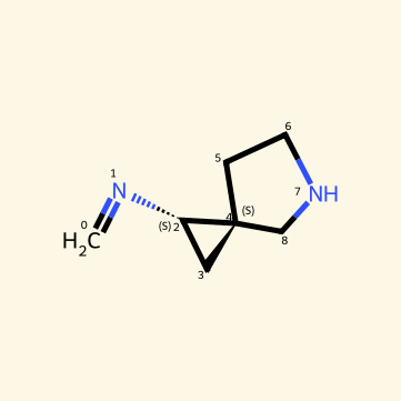 C=N[C@H]1C[C@]12CCNC2